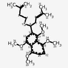 C=C(C)CCSC(CC=C(C)C)c1cc(OC)c2c(OC)ccc(OC)c2c1OC